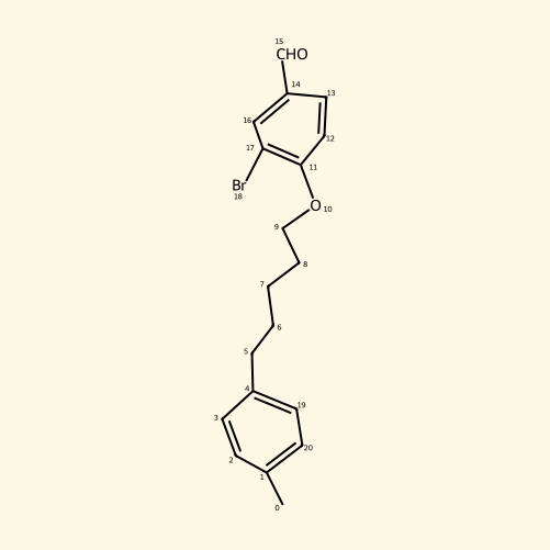 Cc1ccc(CCCCCOc2ccc(C=O)cc2Br)cc1